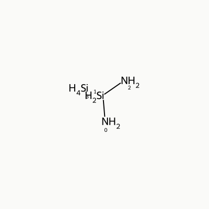 N[SiH2]N.[SiH4]